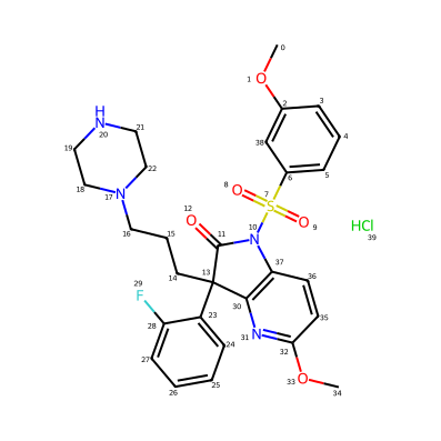 COc1cccc(S(=O)(=O)N2C(=O)C(CCCN3CCNCC3)(c3ccccc3F)c3nc(OC)ccc32)c1.Cl